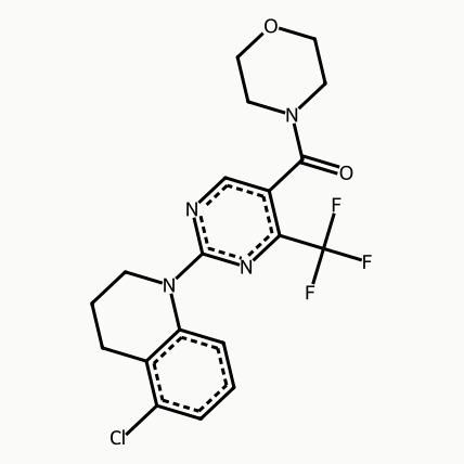 O=C(c1cnc(N2CCCc3c(Cl)cccc32)nc1C(F)(F)F)N1CCOCC1